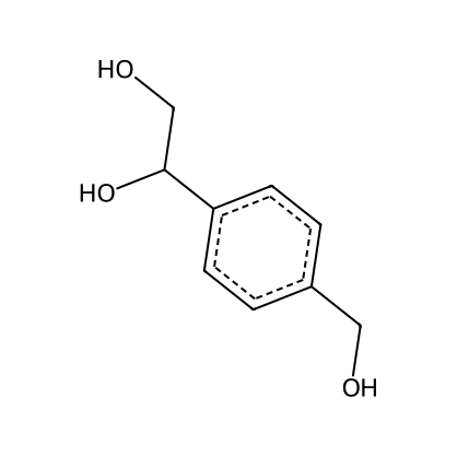 OCc1ccc(C(O)CO)cc1